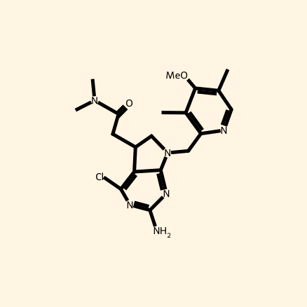 COc1c(C)cnc(CN2CC(CC(=O)N(C)C)c3c(Cl)nc(N)nc32)c1C